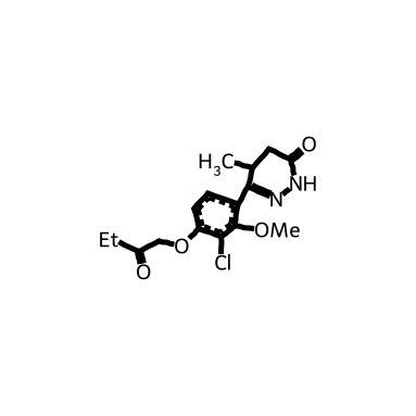 CCC(=O)COc1ccc(C2=NNC(=O)CC2C)c(OC)c1Cl